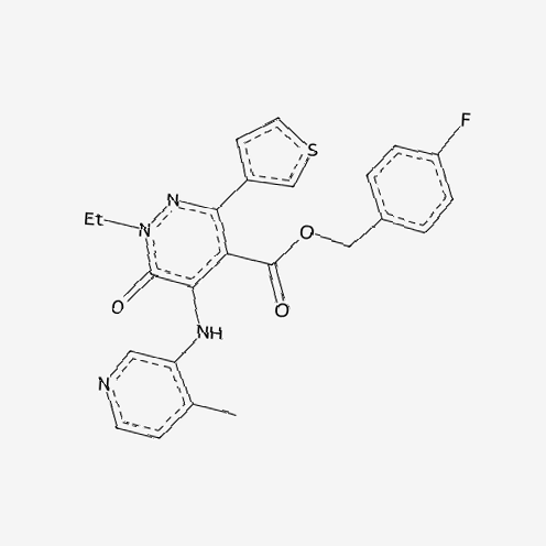 CCn1nc(-c2ccsc2)c(C(=O)OCc2ccc(F)cc2)c(Nc2cnccc2C)c1=O